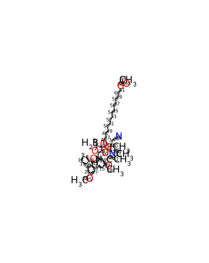 B[C@@H]1O[C@H](COC(c2ccccc2)(c2ccc(OC)cc2)c2ccc(OC)cc2)[C@@H](OP(OCCC#N)N(C(C)C)C(C)C)[C@H]1OCCCCCCCCCCCCCCCCOC(C)=O